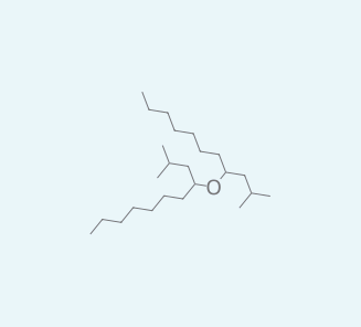 CCCCCCCC(CC(C)C)OC(CCCCCCC)CC(C)C